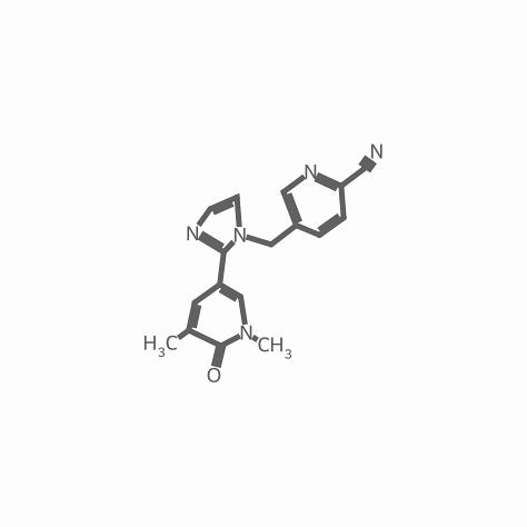 Cc1cc(-c2nccn2Cc2ccc(C#N)nc2)cn(C)c1=O